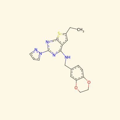 CCc1cc2c(NCc3ccc4c(c3)OCCO4)nc(-n3cccn3)nc2s1